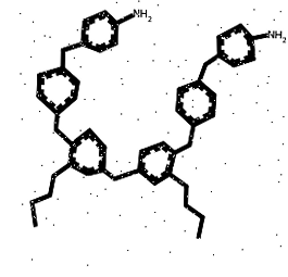 CCCCc1cc(Cc2ccc(Cc3ccc(Cc4ccc(N)cc4)cc3)c(CCCC)c2)ccc1Cc1ccc(Cc2ccc(N)cc2)cc1